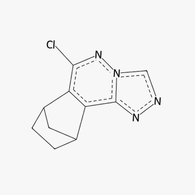 Clc1nn2cnnc2c2c1C1CCC2C1